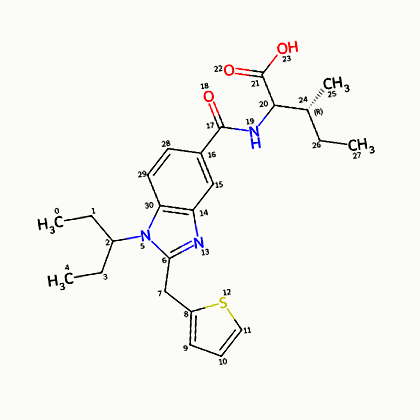 CCC(CC)n1c(Cc2cccs2)nc2cc(C(=O)NC(C(=O)O)[C@H](C)CC)ccc21